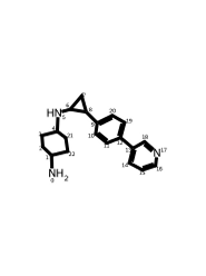 NC1CCC(NC2CC2c2ccc(-c3cccnc3)cc2)CC1